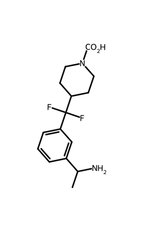 CC(N)c1cccc(C(F)(F)C2CCN(C(=O)O)CC2)c1